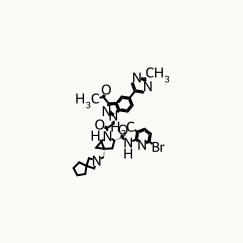 CC(=O)c1nn(CC(=O)N2[C@H](C(=O)Nc3nc(Br)ccc3C)C[C@@]3(CN4CC5(CCCC5)C4)C[C@@H]23)c2ccc(-c3cnc(C)nc3)cc12